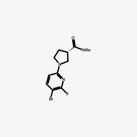 CNC(=O)[C@H]1CCN(c2ccc(Br)c(F)n2)C1